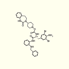 Nc1c(Br)cc(C[C@@H](NC(=O)ON2CCC(N3CCc4ccccc4NC3=O)CC2)C(=O)Nc2ccccc2NCc2ccccc2)cc1Br